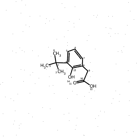 CC(C)(C)c1cccc(CC(=O)O)c1O